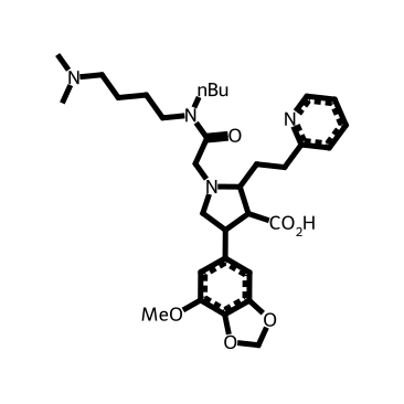 CCCCN(CCCCN(C)C)C(=O)CN1CC(c2cc(OC)c3c(c2)OCO3)C(C(=O)O)C1CCc1ccccn1